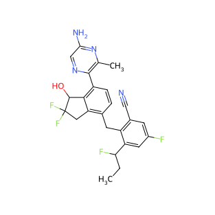 CCC(F)c1cc(F)cc(C#N)c1Cc1ccc(-c2ncc(N)nc2C)c2c1CC(F)(F)C2O